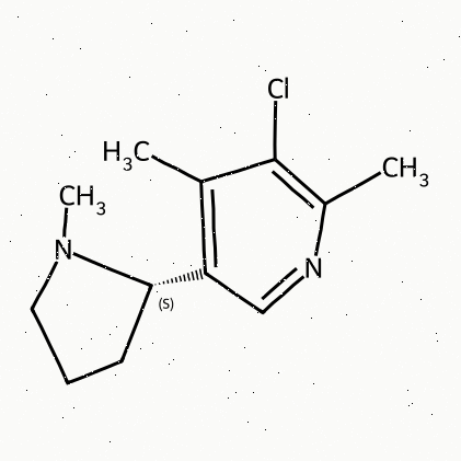 Cc1ncc([C@@H]2CCCN2C)c(C)c1Cl